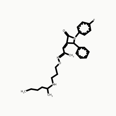 CCCCC(C)NCCCO/N=C(C)/C=C1/C(=O)N(c2ccc(F)cc2)C1c1ccccc1